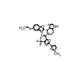 C=CCc1ccc2oc([C@@H]3c4nc[nH]c4CCN3C(=O)c3oc(-c4ccn(C)n4)nc3C(F)(F)F)nc2c1